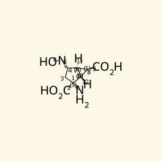 N[C@@]1(C(=O)O)CC(=NO)[C@H]2[C@@H](C(=O)O)[C@@H]21